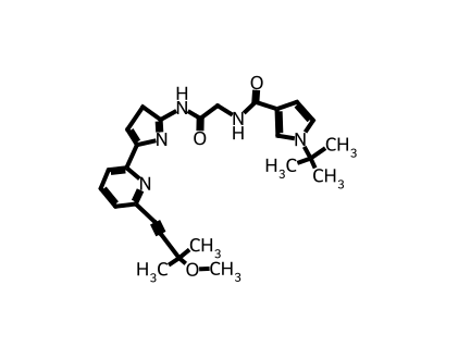 COC(C)(C)C#Cc1cccc(C2=CCC(NC(=O)CNC(=O)c3ccn(C(C)(C)C)c3)=N2)n1